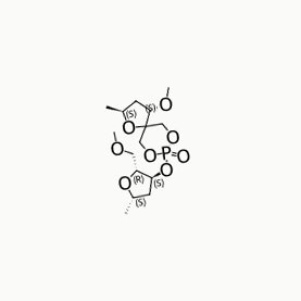 COC[C@H]1O[C@@H](C)C[C@@H]1OP1(=O)OCC2(CO1)O[C@@H](C)C[C@@H]2OC